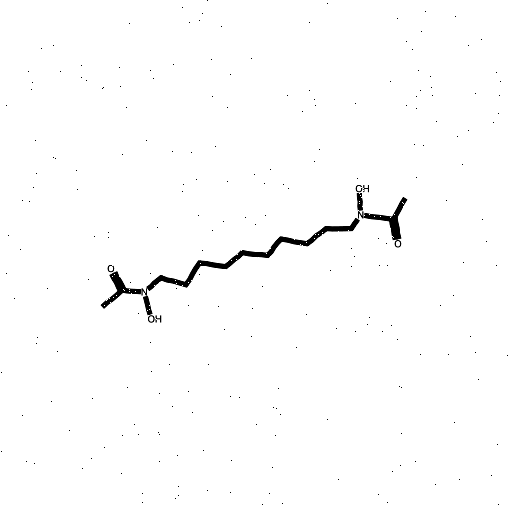 CC(=O)N(O)CCCCCCCCCCN(O)C(C)=O